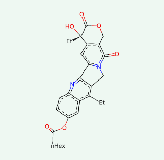 CCCCCCC(=O)Oc1ccc2nc3c(c(CC)c2c1)Cn1c-3cc2c(c1=O)COC(=O)[C@]2(O)CC